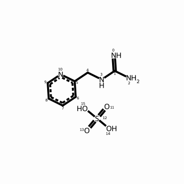 N=C(N)NCc1ccccn1.O=S(=O)(O)O